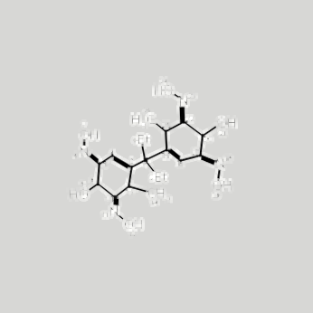 CCC(CC)(C1=CC(=NO)C(O)C(=NO)C1C)C1=CC(=NO)C(O)C(=NO)C1C